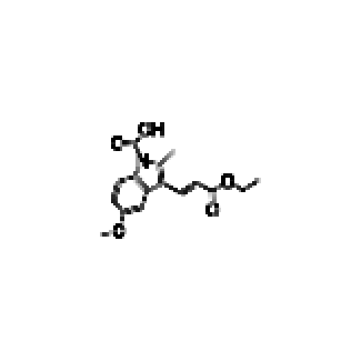 CCOC(=O)C=Cc1c(C)n(C(=O)O)c2ccc(OC)cc12